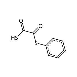 O=C(S)C(=O)Sc1ccccc1